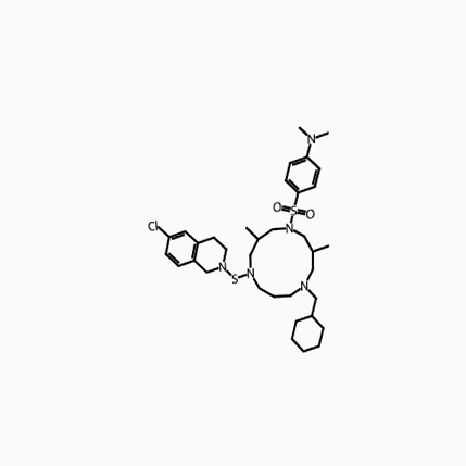 CC1CN(CC2CCCCC2)CCCN(SN2CCc3cc(Cl)ccc3C2)CC(C)CN(S(=O)(=O)c2ccc(N(C)C)cc2)C1